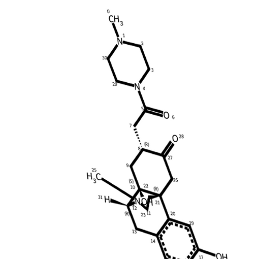 CN1CCN(C(=O)C[C@H]2C[C@@]3(O)[C@H]4Cc5ccc(O)cc5[C@@]3(CCN4C)CC2=O)CC1